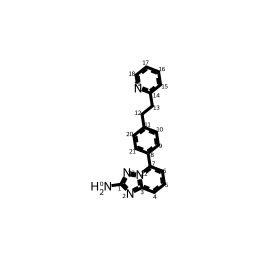 Nc1nc2cccc(-c3ccc(CCc4ccccn4)cc3)n2n1